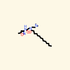 CCCCCCCCCCCCCC(=O)N(CCN(C)C)CC(=O)Nc1cc(C)on1